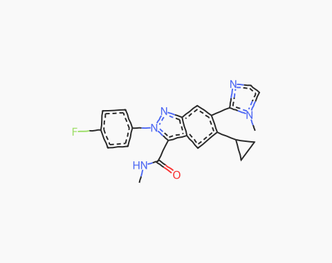 CNC(=O)c1c2cc(C3CC3)c(-c3nccn3C)cc2nn1-c1ccc(F)cc1